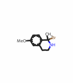 COc1ccc2c(c1)CCNC2(C)Br